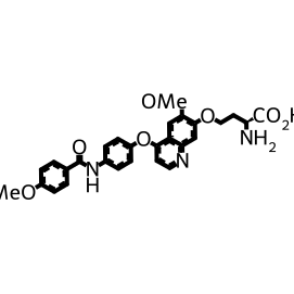 COc1ccc(C(=O)Nc2ccc(Oc3ccnc4cc(OCC[C@H](N)C(=O)O)c(OC)cc34)cc2)cc1